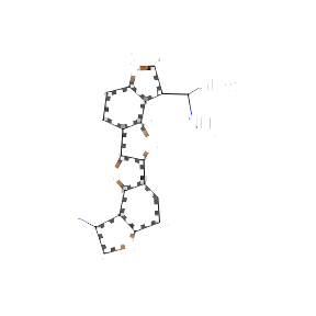 CCCCCCCC(N)c1csc2ccc3c4sc5c(ccc6scc(I)c65)c4sc3c12